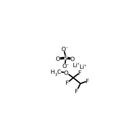 COC(F)(F)C(F)F.O=S(=O)([O-])[O-].[Li+].[Li+]